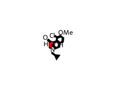 COc1ccc2c(c1Cl)C13CCN(CC4CC4)C(C2)C1(O)CCNC(=O)C3